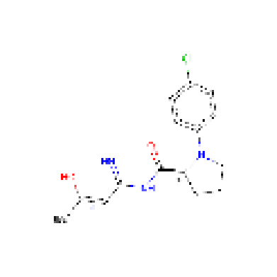 CC(C)(C)/C(O)=C/C(=N)NC(=O)[C@@H]1CCCN1c1ccc(Cl)cc1